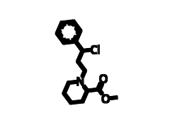 COC(=O)C1CCCCN1CCC(Cl)c1ccccc1